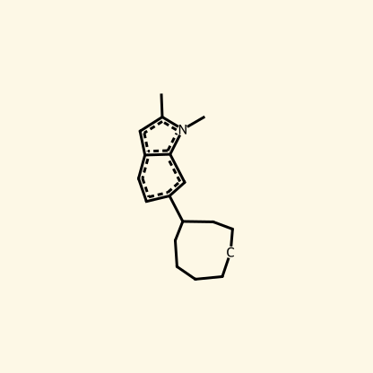 Cc1cc2ccc(C3CCCCCCC3)cc2n1C